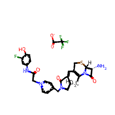 N[C@@H]1C(=O)N2C(C(=O)O)=C(C=C3CCN(Cc4cc[n+](CC(=O)Nc5ccc(O)c(F)c5)cc4)C3=O)CS[C@H]12.O=C([O-])C(F)(F)F